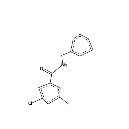 Cc1cc(Cl)cc(C(=O)NCc2ccccc2)c1